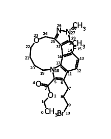 CCOC(=O)c1c(CCCBr)c2ccc(F)c3c2n1CCCCOCc1nn(C)c(C)c1-3